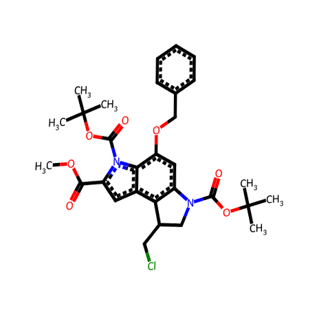 COC(=O)c1cc2c3c(cc(OCc4ccccc4)c2n1C(=O)OC(C)(C)C)N(C(=O)OC(C)(C)C)CC3CCl